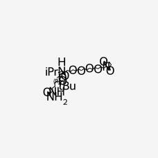 CC(C)C(NC(=O)CCOCCOCCOCCOCCN1C(=O)CCC1=O)C(=O)C[C@@H](CCCNC(N)=O)C(=O)C(C)(C)C